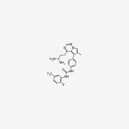 Cc1cn2ncnc(CCC(N)N)c2c1-c1ccc(NC(=O)Nc2cc(C(F)(F)F)ccc2F)cc1